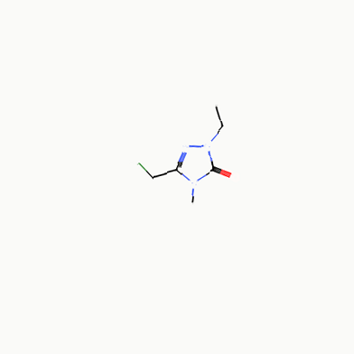 CCn1nc(CCl)n(C)c1=O